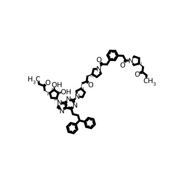 CCC(=O)C[C@@H]1CCN(C(=O)Cc2cccc(CC(=O)N3CC[C@@H](CC(=O)C[C@@H]4CCN(c5nc(CCC(c6ccccc6)c6ccccc6)c6ncn([C@@H]7C[C@H](CC(=O)CC)[C@@H](O)[C@H]7O)c6n5)C4)C3)c2)C1